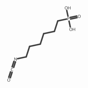 O=C=NCCCCCCP(=O)(O)O